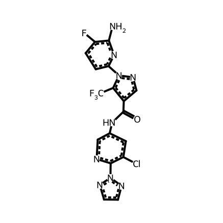 Nc1nc(-n2ncc(C(=O)Nc3cnc(-n4nccn4)c(Cl)c3)c2C(F)(F)F)ccc1F